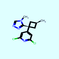 Cn1cnnc1[C@]1(c2cc(Cl)nc(Cl)c2)C[C@H](C)C1